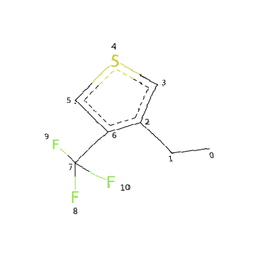 CCc1cs[c]c1C(F)(F)F